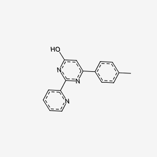 Cc1ccc(-c2cc(O)nc(-c3ccccn3)n2)cc1